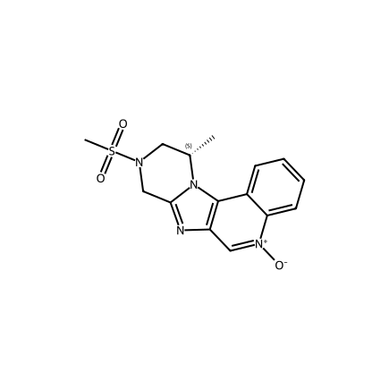 C[C@H]1CN(S(C)(=O)=O)Cc2nc3c[n+]([O-])c4ccccc4c3n21